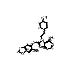 N#CC1CCN(CCn2c(Sc3cc4c(cc3Br)OCO4)nc3ncnc(N)c32)CC1